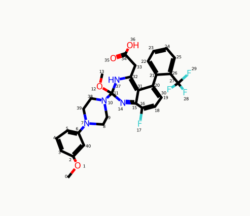 COc1cccc(N2CCN(C3(OC)N=c4c(F)ccc(-c5ccccc5C(F)(F)F)c4=C(CC(=O)O)N3)CC2)c1